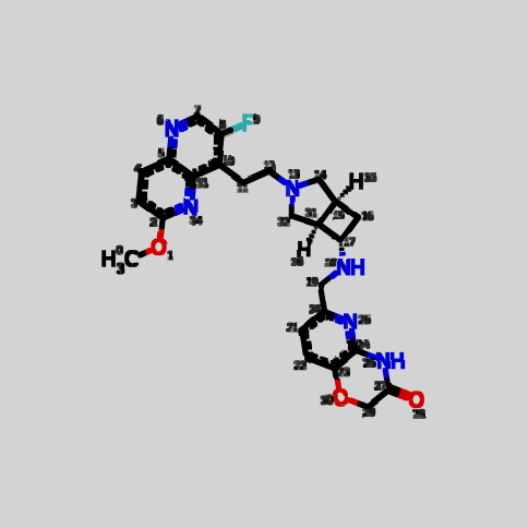 COc1ccc2ncc(F)c(CCN3C[C@H]4C[C@H](NCc5ccc6c(n5)NC(=O)CO6)[C@H]4C3)c2n1